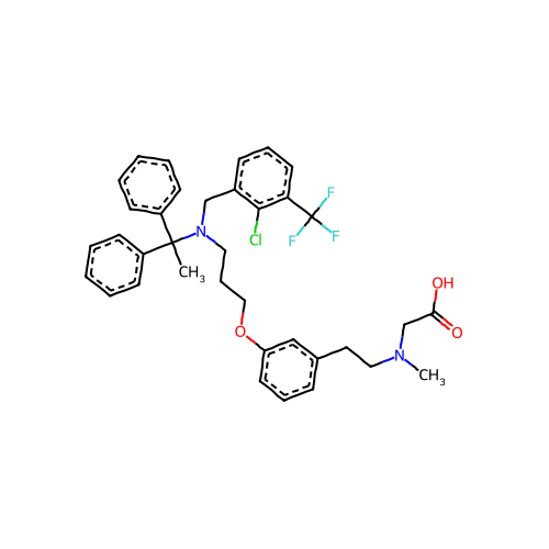 CN(CCc1cccc(OCCCN(Cc2cccc(C(F)(F)F)c2Cl)C(C)(c2ccccc2)c2ccccc2)c1)CC(=O)O